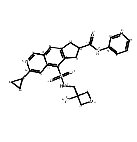 CC1(CNS(=O)(=O)c2c3c(cc4cnc(C5CC5)cc24)CC(C(=O)Nc2cccnc2)C3)COC1